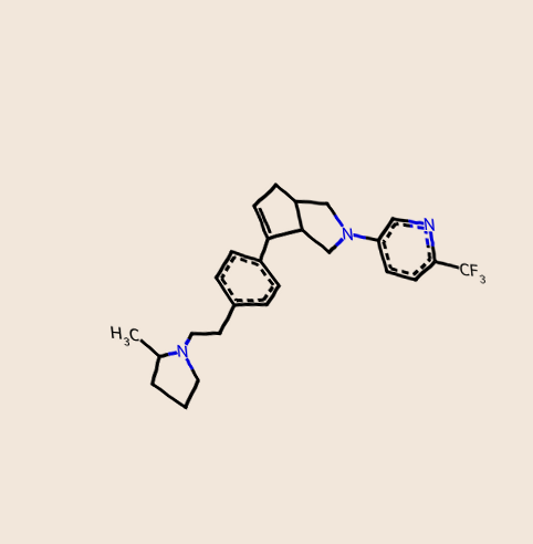 CC1CCCN1CCc1ccc(C2=CCC3CN(c4ccc(C(F)(F)F)nc4)CC23)cc1